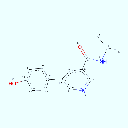 CC(C)NC(=O)c1cncc(-c2ccc(O)cc2)c1